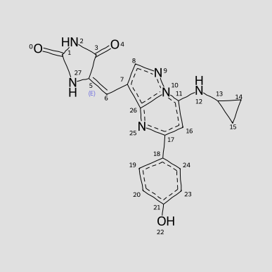 O=C1NC(=O)/C(=C\c2cnn3c(NC4CC4)cc(-c4ccc(O)cc4)nc23)N1